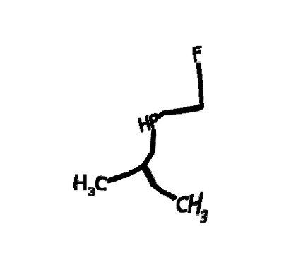 CC(C)PCF